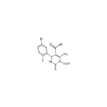 CCCC(=O)C1=C(C)N(C(=O)O)C(=O)NC1c1cc(Br)ccc1F